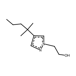 CCCC(C)(C)c1cnn(CCO)c1